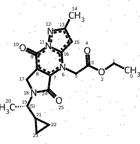 CCOC(=O)Cn1c2c(c(=O)n3nc(C)cc13)CN([C@@H](C)C1CC1)C2=O